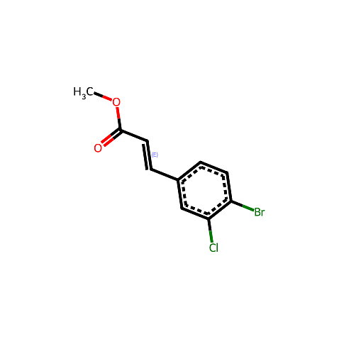 COC(=O)/C=C/c1ccc(Br)c(Cl)c1